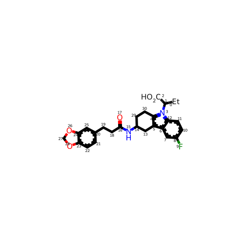 CCC(C(=O)O)n1c2c(c3cc(F)ccc31)CC(NC(=O)CCc1ccc3c(c1)OCO3)CC2